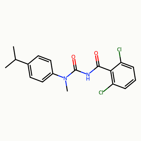 CC(C)c1ccc(N(C)C(=O)NC(=O)c2c(Cl)cccc2Cl)cc1